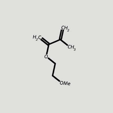 C=C(C)C(=C)OCCOC